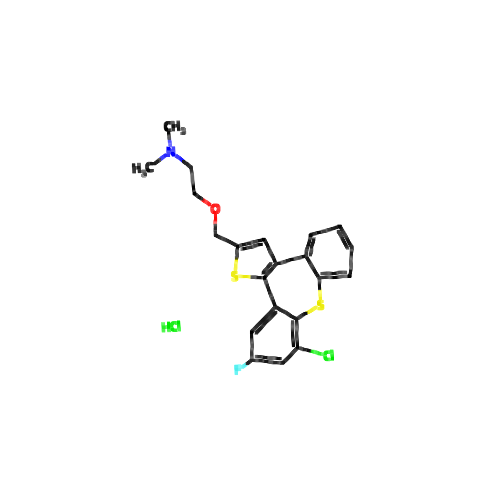 CN(C)CCOCc1cc2c(s1)-c1cc(F)cc(Cl)c1Sc1ccccc1-2.Cl